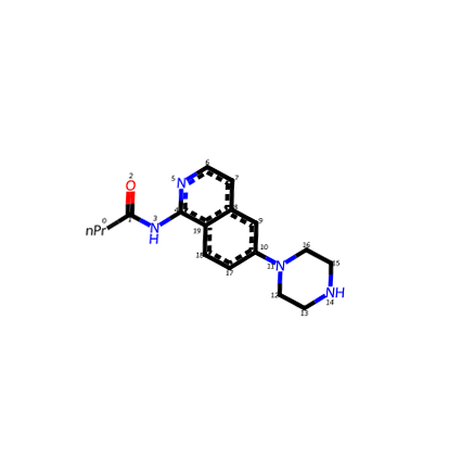 CCCC(=O)Nc1nccc2cc(N3CCNCC3)ccc12